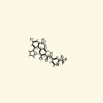 Nc1cc(F)cc(C2CCCO2)c1-c1cc(Cl)c(C(=O)Nc2ccnc(C(F)(F)F)c2)cc1F